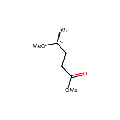 CCCC[C@@H](CCC(=O)OC)OC